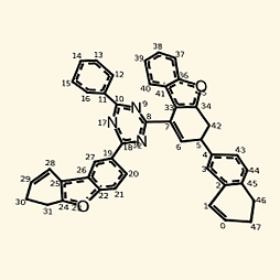 C1=Cc2cc(C3C=C(c4nc(-c5ccccc5)nc(-c5ccc6oc7c(c6c5)C=CCC7)n4)c4c(oc5ccccc45)C3)ccc2CC1